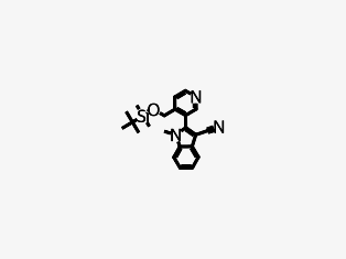 Cn1c(-c2cnccc2CO[Si](C)(C)C(C)(C)C)c(C#N)c2ccccc21